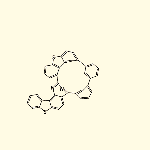 c1cc2cc(c1)c1ccc3sc4cccc(c5nc(c6cccc2c6)c2ccc6sc7ccccc7c6c2n5)c4c3c1